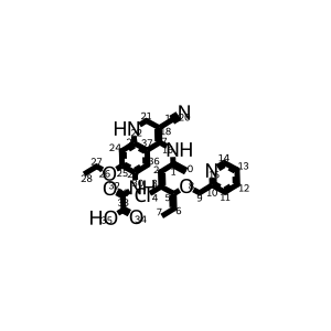 C=C(/C=C(Cl)\C(=C/C)OCc1ccccn1)NC1=C(C#N)CNc2cc(OCC)c(NC(=O)C(=O)O)cc21